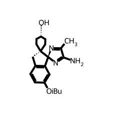 CC1=N[C@@]2(N=C1N)c1cc(OCC(C)C)ccc1C[C@]21CC[C@@H](O)CC1